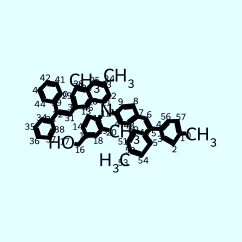 Cc1ccc(C(=Cc2ccc(N(c3ccc(CO)cc3C)c3cc(C)cc4c(C)cc(C=C(c5ccccc5)c5ccccc5)cc34)cc2)c2ccc(C)cc2)cc1